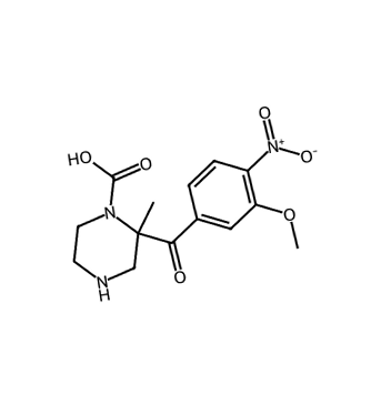 COc1cc(C(=O)C2(C)CNCCN2C(=O)O)ccc1[N+](=O)[O-]